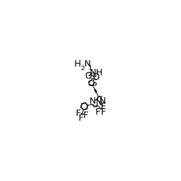 NCCNS(=O)(=O)c1ccc(C#Cc2cnn3c(C(F)(F)F)cc(-c4cccc(C(F)(F)F)c4)nc23)s1